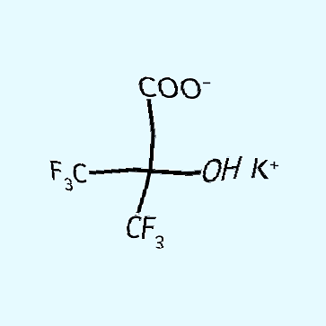 O=C([O-])C(O)(C(F)(F)F)C(F)(F)F.[K+]